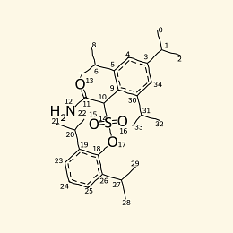 CC(C)c1cc(C(C)C)c(C(C(N)=O)S(=O)(=O)Oc2c(C(C)C)cccc2C(C)C)c(C(C)C)c1